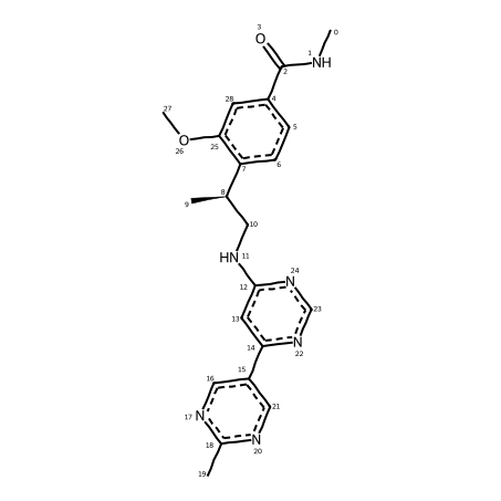 CNC(=O)c1ccc([C@H](C)CNc2cc(-c3cnc(C)nc3)ncn2)c(OC)c1